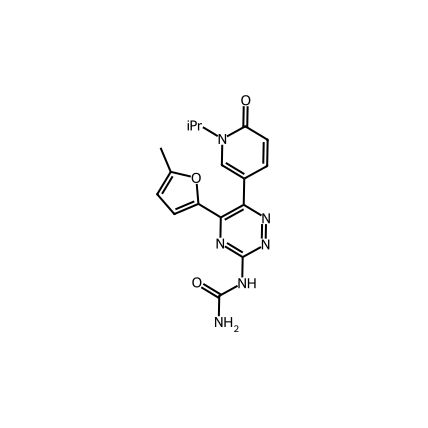 Cc1ccc(-c2nc(NC(N)=O)nnc2-c2ccc(=O)n(C(C)C)c2)o1